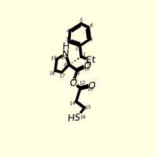 CCC(c1ccccc1)[C@]1(C(=O)OC(=O)CCS)CCCN1